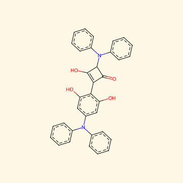 O=C1C(c2c(O)cc(N(c3ccccc3)c3ccccc3)cc2O)=C(O)C1N(c1ccccc1)c1ccccc1